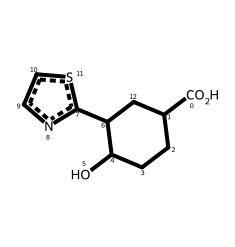 O=C(O)C1CCC(O)C(c2nccs2)C1